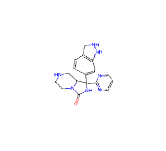 O=C1NC(c2ccc3c(c2)NNC3)(c2ncccn2)C2CNCCN12